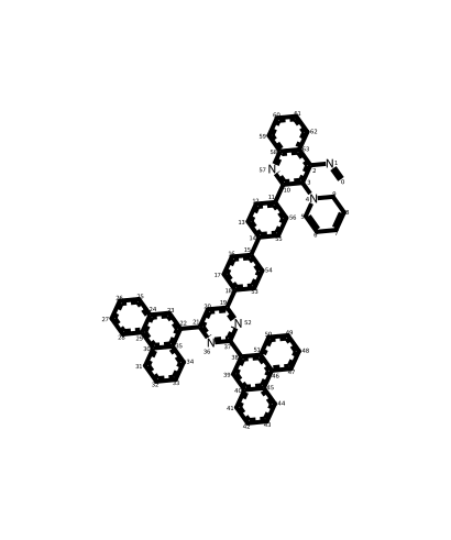 C=Nc1c(N2C=CC=CC2)c(-c2ccc(-c3ccc(-c4cc(-c5cc6ccccc6c6ccccc56)nc(-c5cc6ccccc6c6ccccc56)n4)cc3)cc2)nc2ccccc12